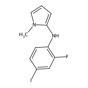 Cn1cccc1Nc1ccc(I)cc1F